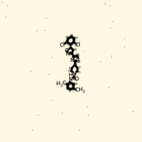 Cc1ccc(C)c(NC(=O)N2CCC(c3nc(C4=NO[C@@H](c5c(Cl)cccc5Cl)C4)cs3)CC2)c1